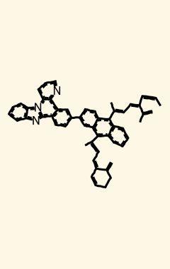 C=C1CCC=C/C1=C/C=C(\C)c1c2ccccc2c(/C(C)=C/C=C(/C=C\C)C(=C)C)c2ccc(-c3ccc4c(c3)c3ncccc3n3c5ccccc5nc43)cc12